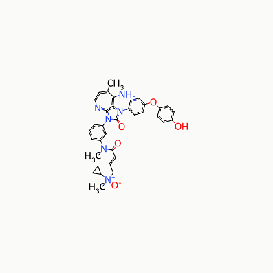 CC1=C=CN=c2c(n(-c3ccc(Oc4ccc(O)cc4)cc3)c(=O)n2-c2cccc(N(C)C(=O)/C=C/C[N+](C)([O-])C3CC3)c2)=C1N